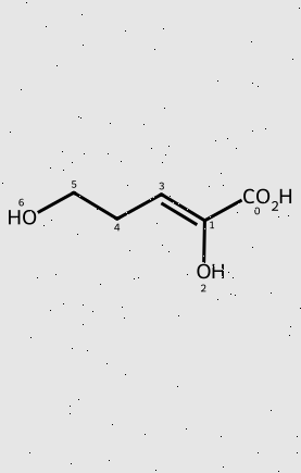 O=C(O)C(O)=CCCO